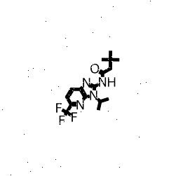 CC(C)n1c(NC(=O)CC(C)(C)C)nc2ccc(C(F)(F)F)nc21